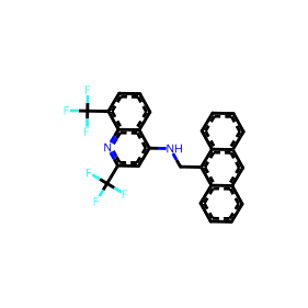 FC(F)(F)c1cc(NCc2c3ccccc3cc3ccccc23)c2cccc(C(F)(F)F)c2n1